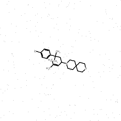 CC(C)=CC(CC(C)(C)c1ccc(Cl)cc1)N1CCC2(CCOCC2)CC1